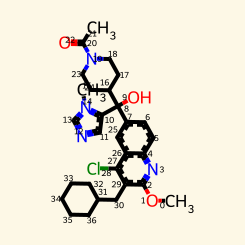 COc1nc2ccc(C(O)(c3cncn3C)C3CCN(C(C)=O)CC3)cc2c(Cl)c1CC1CCCCC1